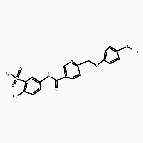 CS(=O)(=O)c1cc(NC(=O)c2ccc(COc3ccc(SC(F)(F)F)cc3)nc2)ccc1O